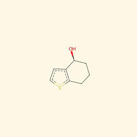 O[C@H]1CCCc2sccc21